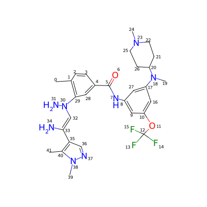 Cc1ccc(C(=O)Nc2cc(OC(F)(F)F)cc(N(C)C3CCN(C)CC3)c2)cc1N(N)/C=C(\N)c1cnn(C)c1C